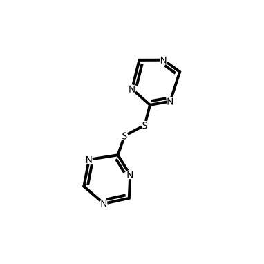 c1ncnc(SSc2ncncn2)n1